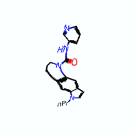 CCCn1ccc2cc3c(cc21)CCN3C(=O)Nc1cccnc1